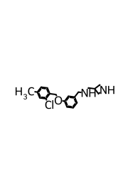 Cc1ccc(COc2cccc(CNCC3CNC3)c2)c(Cl)c1